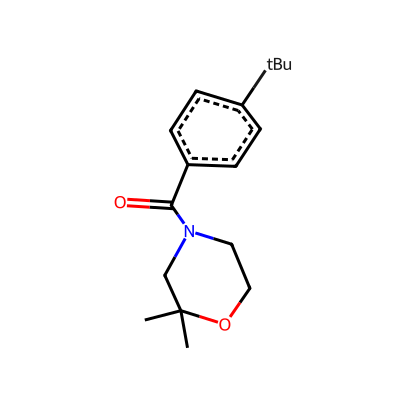 CC1(C)CN(C(=O)c2ccc(C(C)(C)C)cc2)CCO1